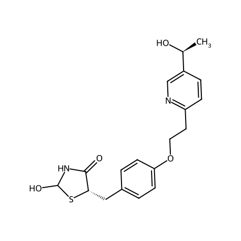 C[C@H](O)c1ccc(CCOc2ccc(C[C@@H]3SC(O)NC3=O)cc2)nc1